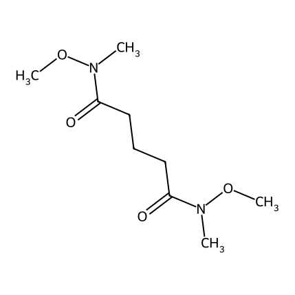 CON(C)C(=O)CCCC(=O)N(C)OC